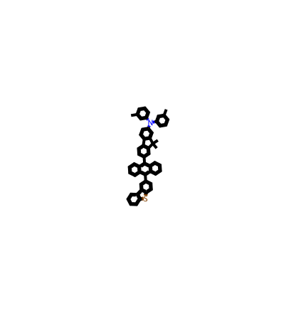 Cc1cccc(N(c2cccc(C)c2)c2ccc3c(c2)C(C)(C)c2cc(-c4c5ccccc5c(-c5ccc6sc7ccccc7c6c5)c5ccccc45)ccc2-3)c1